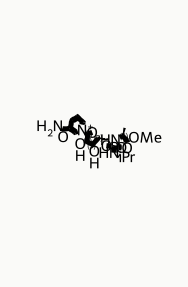 COC(=O)[C@H](C)NP(=O)(NC(C)C)OC[C@H]1O[C@@H]([n+]2cccc(C(N)=O)c2)[C@H](O)[C@@H]1O